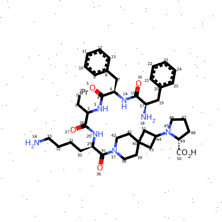 CC(C)CC(NC(=O)[C@@H](Cc1ccccc1)NC(=O)[C@H](N)Cc1ccccc1)C(=O)N[C@H](CCCCN)C(=O)N1CCC2(CC1)CC(N1CCC[C@@H]1C(=O)O)C2